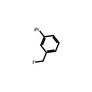 CC(C)c1cccc(CF)c1